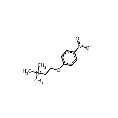 C[N+](C)(C)CCOc1ccc([N+](=O)[O-])cc1